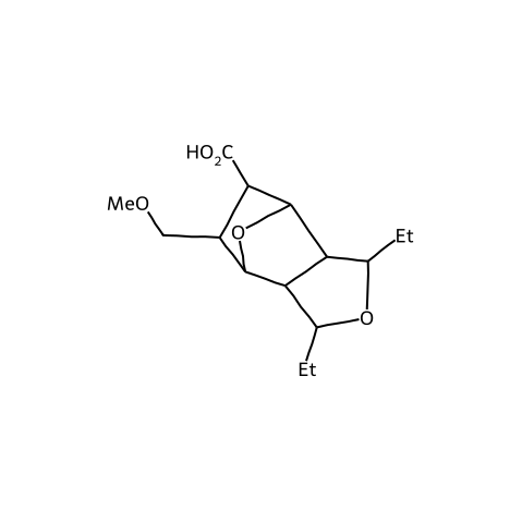 CCC1OC(CC)C2C3OC(C(COC)C3C(=O)O)C12